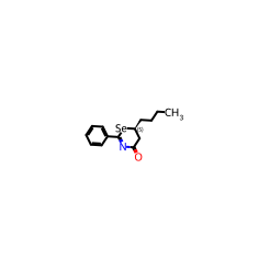 CCCC[C@H]1CC(=O)N=C(c2ccccc2)[Se]1